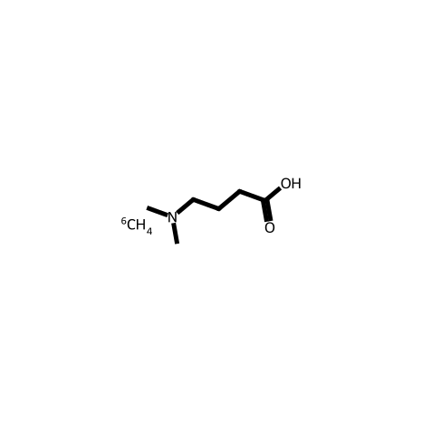 CN(C)CCCC(=O)O.[6CH4]